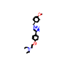 CCN(CC)CCOc1ccc(-c2cn(Cc3ccc(OC)cc3)nn2)cc1